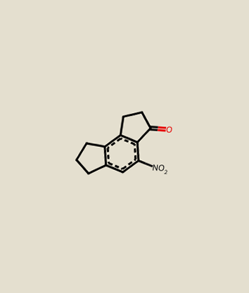 O=C1CCc2c3c(cc([N+](=O)[O-])c21)CCC3